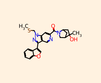 CSCn1nc(-c2coc3ccccc23)c2cnc(C(=O)N3CC4CC3CC4(C)O)cc21